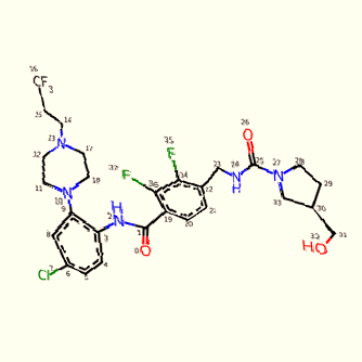 O=C(Nc1ccc(Cl)cc1N1CCN(CCC(F)(F)F)CC1)c1ccc(CNC(=O)N2CC[C@@H](CO)C2)c(F)c1F